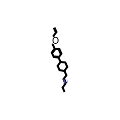 C=CCOCc1ccc(C2CCC(C/C=C/CC)CC2)cc1